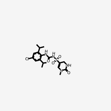 CC(C)c1cc(Cl)cc(C(C)C)c1NC(=O)NS(=O)(=O)C1=CN(C)C(=O)NC1